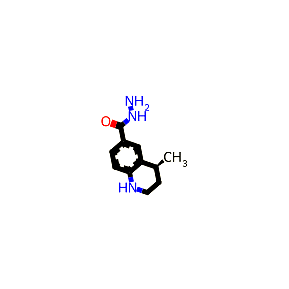 C[C@H]1CCNc2ccc(C(=O)NN)cc21